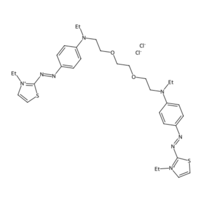 CCN(CCOCCOCCN(CC)c1ccc(N=Nc2scc[n+]2CC)cc1)c1ccc(N=Nc2scc[n+]2CC)cc1.[Cl-].[Cl-]